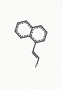 FC=Cc1cccc2ccccc12